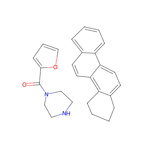 O=C(c1ccco1)N1CCNCC1.c1ccc2c(c1)ccc1c3c(ccc12)CCCC3